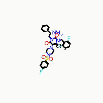 Cc1c(N2CCN(S(=O)(=O)c3ccc(F)cc3)CC2)c(=O)n(C[C@@H](N)c2ccccc2)c(=O)n1Cc1c(F)cccc1F